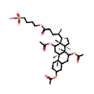 CC(=O)OC1CC[C@@]2(C)C(C1)CC(OC(C)=O)[C@H]1[C@@H]3CC[C@H]([C@H](C)CCC(=O)OCCCCS(=O)(=O)O)[C@@]3(C)C(OC(C)=O)C[C@@H]12